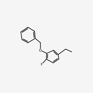 CCc1ccc(F)c(OCc2ccccc2)c1